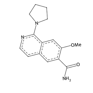 COc1cc2c(N3CCCC3)nccc2cc1C(N)=O